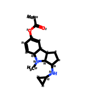 CNC(=O)OC1=CC2C3CCC(NC4CC4)C3N(C)C2C=C1